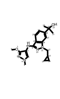 COc1nn(C)cc1Nc1nn(CC2CC2)c2cc(C(C)(C)O)ccc12